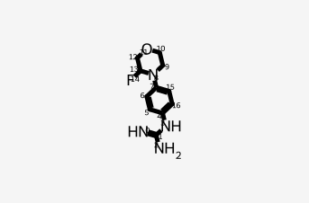 N=C(N)Nc1ccc(N2CCOCC2F)cc1